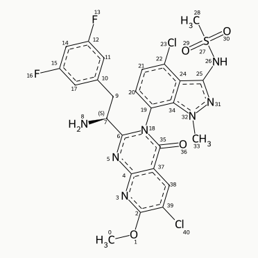 COc1nc2nc([C@@H](N)Cc3cc(F)cc(F)c3)n(-c3ccc(Cl)c4c(NS(C)(=O)=O)nn(C)c34)c(=O)c2cc1Cl